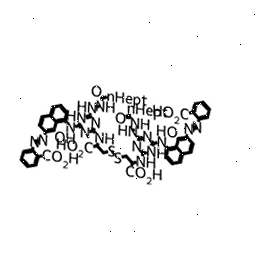 CCCCCCCC(=O)NNc1nc(Nc2cccc3ccc(/N=N/c4ccccc4C(=O)O)c(O)c23)nc(NC(CSSCC(Nc2nc(NNC(=O)CCCCCCC)nc(Nc3cccc4ccc(/N=N/c5ccccc5C(=O)O)c(O)c34)n2)C(=O)O)C(=O)O)n1